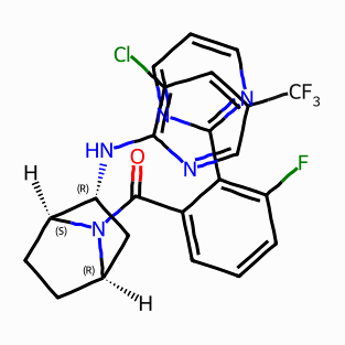 O=C(c1cccc(F)c1-c1ncccn1)N1[C@@H]2CC[C@H]1[C@H](Nc1ncc(C(F)(F)F)cc1Cl)C2